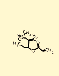 C=CC(=O)OC(CC)C(=C)[SiH](C)C